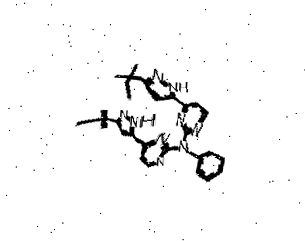 CC(C)(C)c1cc(-c2ccnc(N(c3ccccc3)c3nccc(-c4cc(C(C)(C)C)n[nH]4)n3)n2)[nH]n1